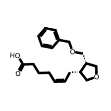 O=C(O)CCC/C=C\C[C@H]1COC[C@H]1COCc1ccccc1